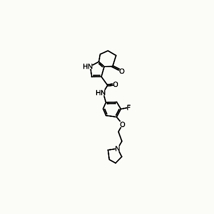 O=C(Nc1ccc(OCCN2CCCC2)c(F)c1)c1c[nH]c2c1C(=O)CCC2